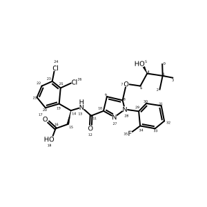 CC(C)(C)[C@H](O)COc1cc(C(=O)N[C@@H](CC(=O)O)c2cccc(Cl)c2Cl)nn1-c1ccccc1F